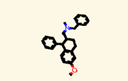 COc1ccc2c(c1)CCC(CN(C)Cc1ccccc1)C2c1ccccc1